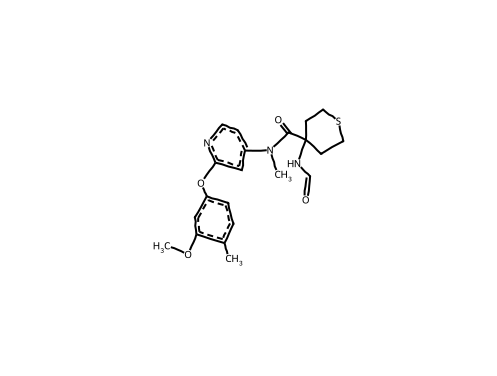 COc1cc(Oc2cc(N(C)C(=O)C3(NC=O)CCSCC3)ccn2)ccc1C